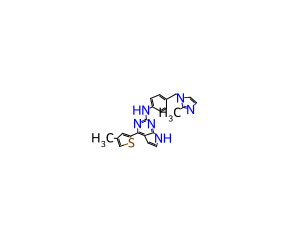 Cc1csc(-c2nc(Nc3ccc(Cn4ccnc4C)cc3)nc3[nH]ccc23)c1